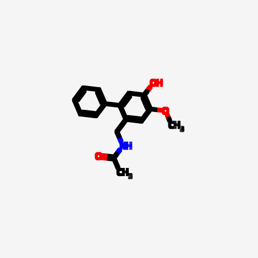 COc1cc(CNC(C)=O)c(-c2ccccc2)cc1O